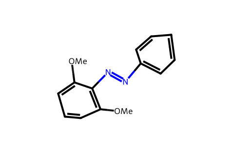 COc1cccc(OC)c1/N=N/c1ccccc1